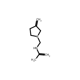 C=C1CCB(CNC(=C)C)C1